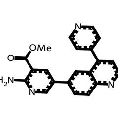 COC(=O)c1cc(-c2ccc3nccc(-c4ccncc4)c3c2)cnc1N